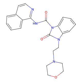 O=C(Nc1nccc2ccccc12)n1c(=O)n(CCN2CCOCC2)c2ccccc21